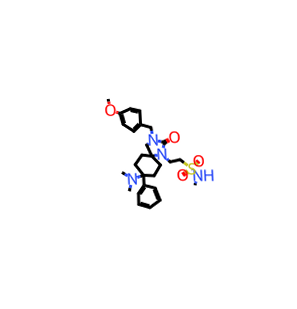 CNS(=O)(=O)CCN1C(=O)N(Cc2ccc(OC)cc2)CC12CCC(c1ccccc1)(N(C)C)CC2